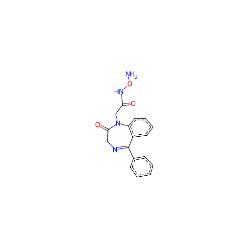 NONC(=O)CN1C(=O)CN=C(c2ccccc2)c2ccccc21